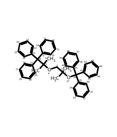 CC(C)(COC(C)(C)C(c1ccccc1)(c1ccccc1)c1ccccc1)OC(c1ccccc1)(c1ccccc1)c1ccccc1